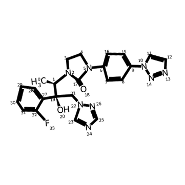 C[C@@H](N1CCN(c2ccc(-n3ccnn3)cc2)C1=O)[C@](O)(Cn1cncn1)c1ccccc1F